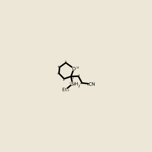 CC[SiH2]C1(CCC#N)CCCCO1